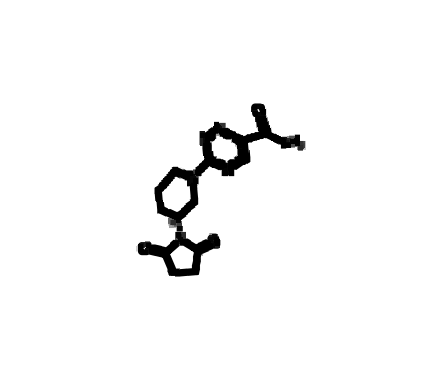 NC(=O)c1cnc(N2CCC[C@@H](N3C(=O)CCC3=O)C2)nn1